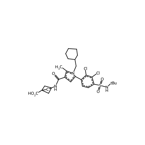 Cc1c(C(=O)NC23CC(C(=O)O)(C2)C3)cc(-c2ccc(S(=O)(=O)NC(C)(C)C)c(Cl)c2Cl)n1CC1CCCCC1